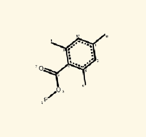 Cc1cc(C)c(C(=O)O[P])c(C)c1